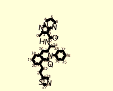 Cc1nn2cccnc2c1C(=O)NC(C)c1cc2cccc(/C=C/c3cncs3)c2c(=O)n1-c1ccccc1